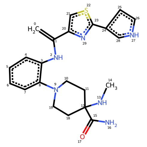 C=C(Nc1ccccc1N1CCC(NC)(C(N)=O)CC1)c1csc(-c2cc[nH]c2)n1